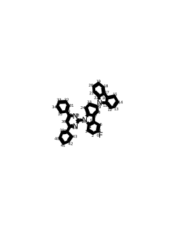 Fc1ccc2c(c1)c1cc(-n3c4ccccc4c4ccccc43)ccc1n2-c1nc(-c2ccccc2)cc(-c2ccccc2)n1